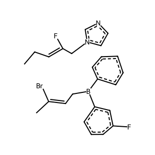 CC(Br)=CCB(c1ccccc1)c1cccc(F)c1.CCC=C(F)Cn1ccnc1